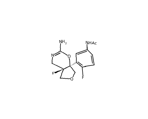 CC(=O)Nc1ccc(F)c([C@]23COC[C@]2(F)CN=C(N)O3)c1